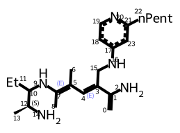 C=C(N)/C(=C/C(C)=C(\C)NC(CC)[C@H](C)N)CNc1ccnc(CCCCC)c1